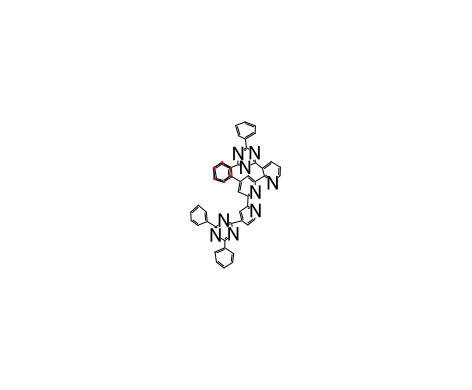 c1ccc(-c2cc(-c3cc(-c4nc(-c5ccccc5)nc(-c5ccccc5)n4)ccn3)nc(-c3ncccc3-c3nc(-c4ccccc4)nc(-c4ccccc4)n3)c2)cc1